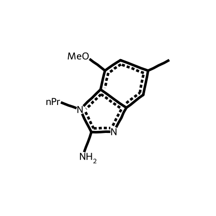 CCCn1c(N)nc2cc(C)cc(OC)c21